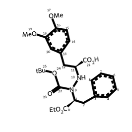 CCOC(=O)[C@H](Cc1ccccc1)N(N[C@@H](Cc1ccc(OC)c(OC)c1)C(=O)O)C(=O)OC(C)(C)C